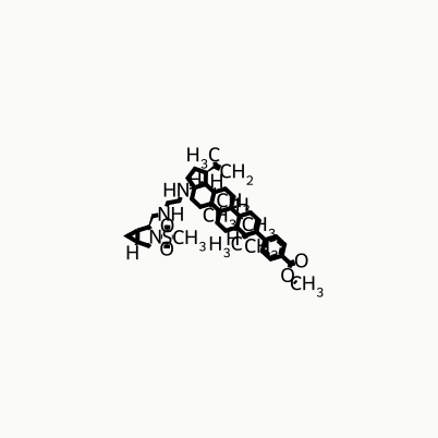 C=C(C)[C@@H]1CC[C@]2(NCCNC[C@@H]3C4C[C@H]4CN3S(C)(=O)=O)CC[C@]3(C)[C@H](CC[C@@H]4[C@@]5(C)CC=C(c6ccc(C(=O)OC)cc6)C(C)(C)[C@@H]5CC[C@]43C)[C@@H]12